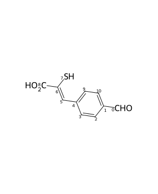 O=Cc1ccc(C=C(S)C(=O)O)cc1